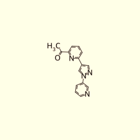 CC(=O)c1cccc(-c2cnn(-c3cccnc3)c2)n1